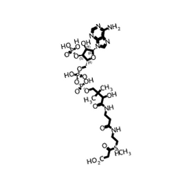 C[SH](CCNC(=O)CCNC(=O)C(O)C(C)(C)COP(=O)(O)OP(=O)(O)OC[C@H]1O[C@@H](n2cnc3c(N)ncnc32)[C@H](O)[C@@H]1OP(=O)(O)O)C(=O)CC(=O)O